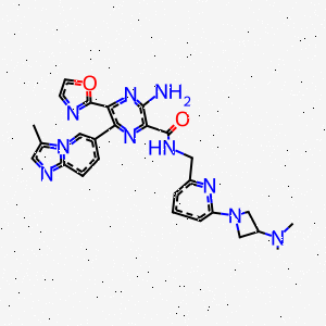 Cc1cnc2ccc(-c3nc(C(=O)NCc4cccc(N5CC(N(C)C)C5)n4)c(N)nc3-c3ncco3)cn12